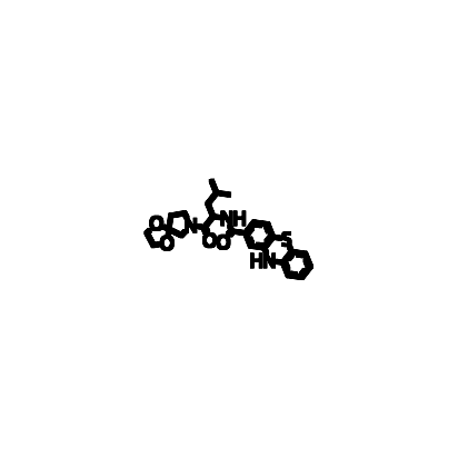 CC(C)CC(NC(=O)c1ccc2c(c1)Nc1ccccc1S2)C(=O)N1CCC2(C1)OCCO2